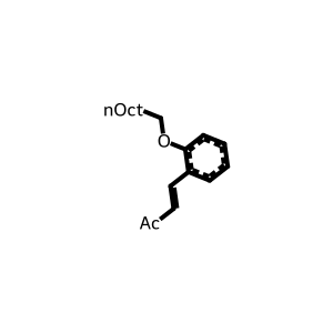 CCCCCCCCCOc1ccccc1/C=C/C(C)=O